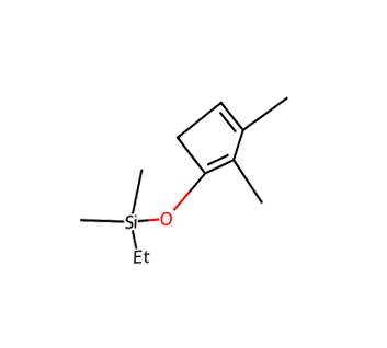 CC[Si](C)(C)OC1=C(C)C(C)=CC1